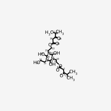 CC(C)C(=O)CC(=O)OCCN1C(O)N(CCO)C(O)N(CCOC(=O)CC(=O)C(C)C)C1O